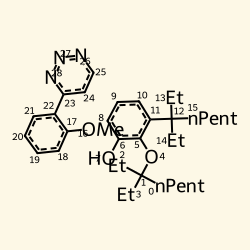 CCCCCC(CC)(CC)Oc1c(O)cccc1C(CC)(CC)CCCCC.COc1ccccc1-c1ccnnn1